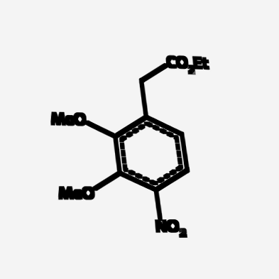 CCOC(=O)Cc1ccc([N+](=O)[O-])c(OC)c1OC